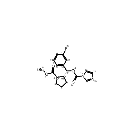 CC(C)(C)OC(=O)N1CCC[C@H]1C(OC(=S)n1ccnc1)c1cccc(F)c1